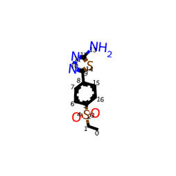 CCS(=O)(=O)c1ccc(-c2nnc(N)s2)cc1